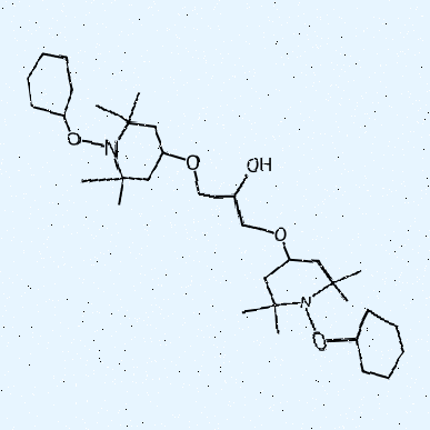 CC1(C)CC(OCC(O)COC2CC(C)(C)N(OC3CCCCC3)C(C)(C)C2)CC(C)(C)N1OC1CCCCC1